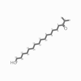 CC(C)C(=O)CCCCCCCCCCCCCCCO